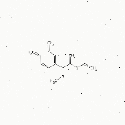 C=C\C=C/C(=C\C=C)C(=N\C)/C(=C)SC=C